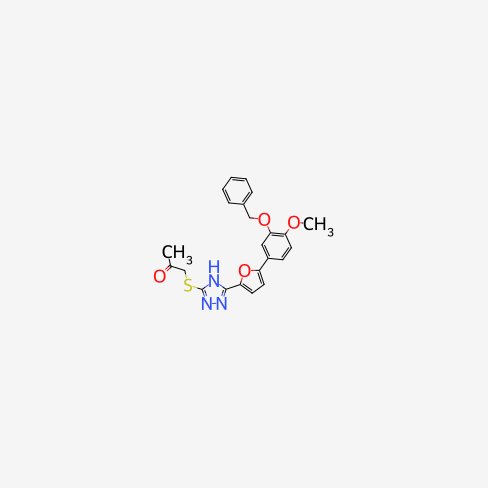 COc1ccc(-c2ccc(-c3nnc(SCC(C)=O)[nH]3)o2)cc1OCc1ccccc1